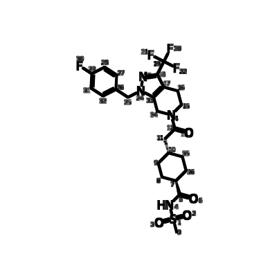 CS(=O)(=O)NC(=O)[C@H]1CC[C@H](CC(=O)N2CCc3c(C(F)(F)F)nn(Cc4ccc(F)cc4)c3C2)CC1